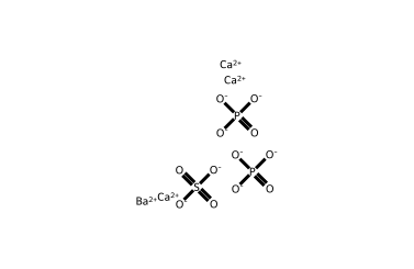 O=P([O-])([O-])[O-].O=P([O-])([O-])[O-].O=S(=O)([O-])[O-].[Ba+2].[Ca+2].[Ca+2].[Ca+2]